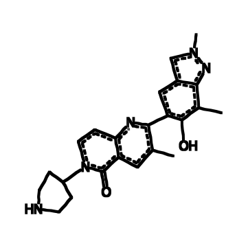 Cc1cc2c(=O)n(C3CCNCC3)ccc2nc1-c1cc2cn(C)nc2c(C)c1O